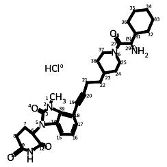 Cl.Cn1c(=O)n(C2CCC(=O)NC2=O)c2cccc(C#CCCC3CCN(C(=O)[C@@H](N)C4CCCCC4)CC3)c21